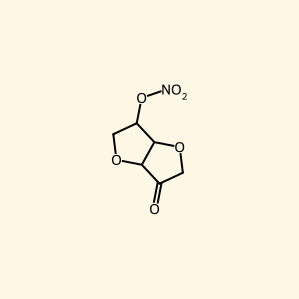 O=C1COC2C(O[N+](=O)[O-])COC12